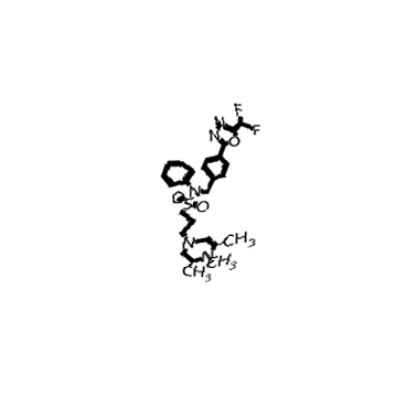 C[C@@H]1CN(CCCS(=O)(=O)N(Cc2ccc(-c3nnc(C(F)F)o3)cc2)c2ccccc2)C[C@H](C)N1C